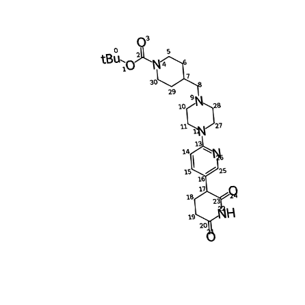 CC(C)(C)OC(=O)N1CCC(CN2CCN(c3ccc(C4CCC(=O)NC4=O)cn3)CC2)CC1